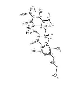 COc1c(CNCC2CC2)cc(O)c2c1C[C@H]1C[C@H]3[C@H](N(C)C)C(O)=C(C(N)=O)C(=O)[C@@]3(O)C(O)=C1C2=O